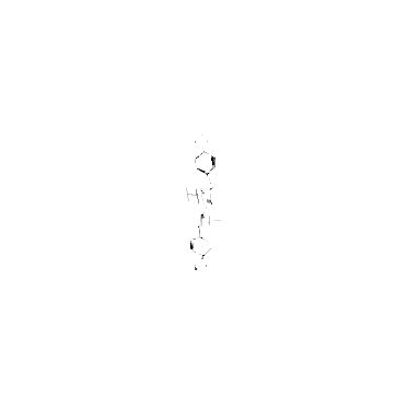 COc1ccc(CNCCNCc2ccc(OC)cc2)cc1